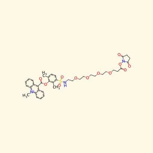 Cc1ccc(S(=O)(=O)NCCOCCOCCOCCOCCC(=O)ON2C(=O)CCC2=O)c(C)c1OC(=O)c1c2ccccc2[n+](C)c2ccccc12